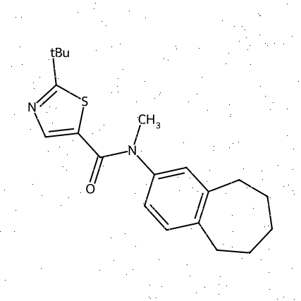 CN(C(=O)c1cnc(C(C)(C)C)s1)c1ccc2c(c1)CCCCC2